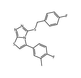 Cc1cc(-c2csc3nnc(SCc4ccc(F)cc4)n23)ccc1F